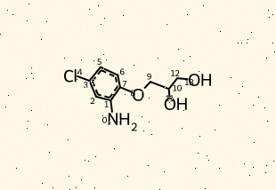 Nc1cc(Cl)ccc1OCC(O)CO